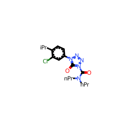 CCCN(CCC)C(=O)n1nnn(-c2ccc(C(C)C)c(Cl)c2)c1=O